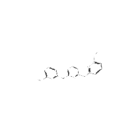 COc1cccc(Cc2cccc(Cc3cccc(OC)n3)n2)n1